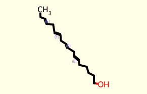 CC/C=C/C/C=C/C/C=C/C/C=C/CCCCCO